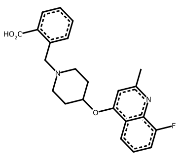 Cc1cc(OC2CCN(Cc3ccccc3C(=O)O)CC2)c2cccc(F)c2n1